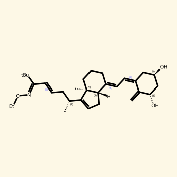 C=C1/C(=C\C=C2/CCC[C@]3(C)C([C@H](C)C/C=C/C(=NOCC)C(C)(C)C)=CC[C@@H]23)C[C@@H](O)C[C@@H]1O